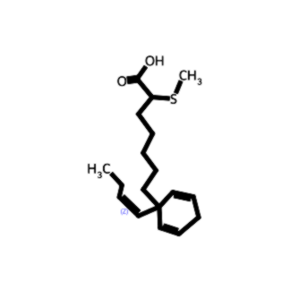 CC/C=C\C1(CCCCCC(SC)C(=O)O)C=CCC=C1